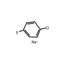 [Na+].[S-]c1ccc(Cl)cc1